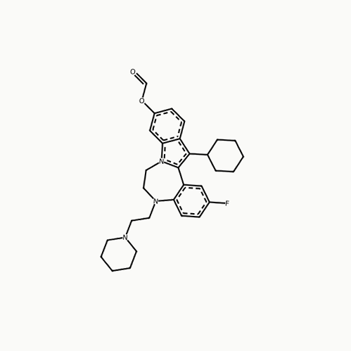 O=COc1ccc2c(C3CCCCC3)c3n(c2c1)CCN(CCN1CCCCC1)c1ccc(F)cc1-3